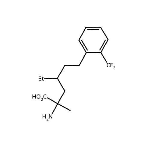 CCC(CCc1ccccc1C(F)(F)F)CC(C)(N)C(=O)O